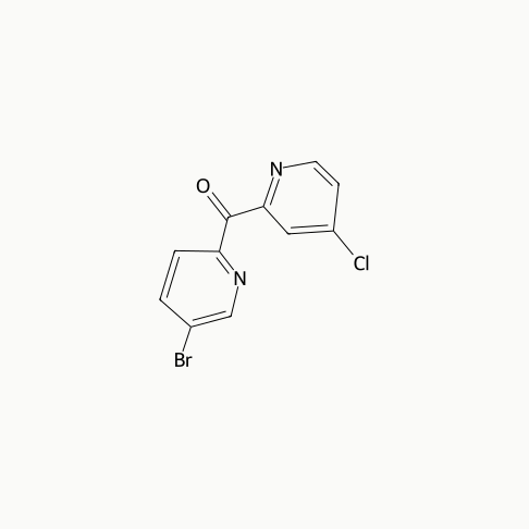 O=C(c1ccc(Br)cn1)c1cc(Cl)ccn1